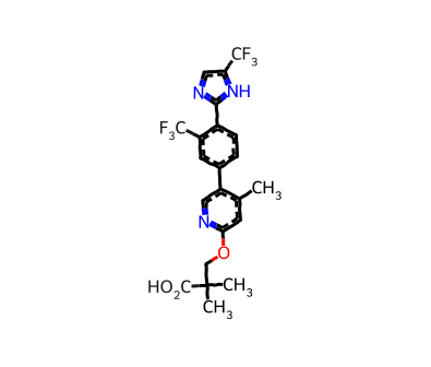 Cc1cc(OCC(C)(C)C(=O)O)ncc1-c1ccc(-c2ncc(C(F)(F)F)[nH]2)c(C(F)(F)F)c1